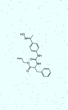 C=CCOC(=O)C(Cc1ccccc1)NC(=O)Nc1ccc(C(C)=NO)cc1